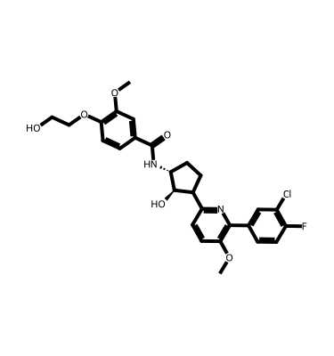 COc1cc(C(=O)N[C@@H]2CCC(c3ccc(OC)c(-c4ccc(F)c(Cl)c4)n3)[C@H]2O)ccc1OCCO